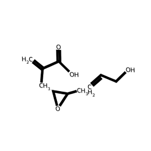 C=C(C)C(=O)O.C=CCO.CC1CO1